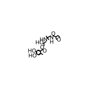 Cc1cc(O)c(O)cc1C(=O)OCC(O)CNC(C)(C)CNC(=O)C1CCOC1